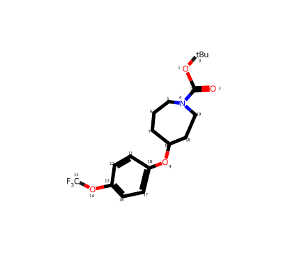 CC(C)(C)OC(=O)N1CCCC(Oc2ccc(OC(F)(F)F)cc2)CC1